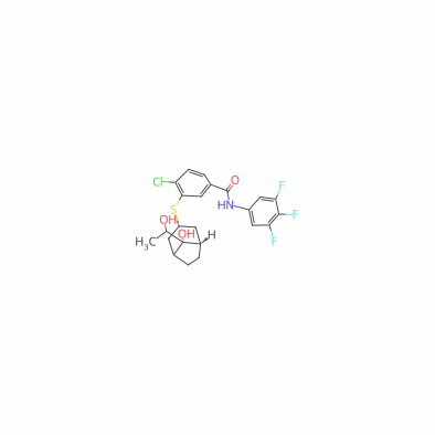 CC(O)[C@]1(O)C2CC[C@H]1C[C@H](Sc1cc(C(=O)Nc3cc(F)c(F)c(F)c3)ccc1Cl)C2